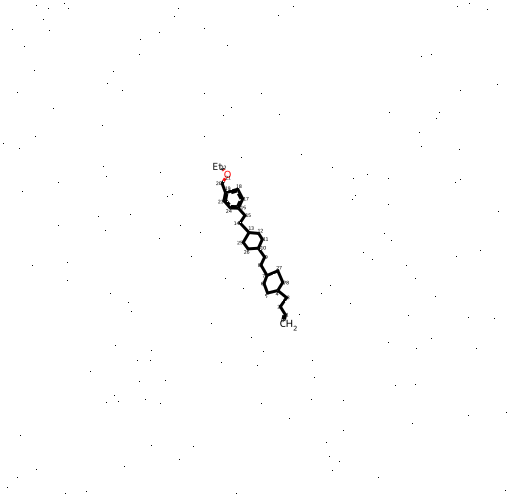 C=CCCC1CCC(CCC2CCC(CCc3ccc(COCC)cc3)CC2)CC1